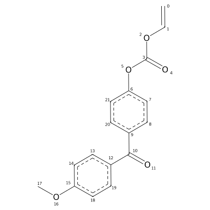 C=COC(=O)Oc1ccc(C(=O)c2ccc(OC)cc2)cc1